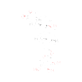 C[C@]12CC[C@H](O[C@H]3OC[C@H](O)C(O)[C@@H]3O)C[C@H]1CCC1C2CC[C@]2(C)[C@@H](C3=CC(=O)OC3)CC[C@]12O